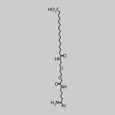 CC(=O)[C@@H](N)CCCCNC(=O)COCCOCCNC(=O)CCCCCCCCCCCCCCC(=O)O